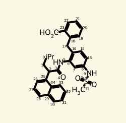 CC(C)CC(C(=O)Nc1cc(NS(C)(=O)=O)ccc1Cc1ccccc1C(=O)O)c1cccc2ccccc12